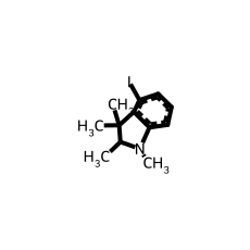 CC1N(C)c2cccc(I)c2C1(C)C